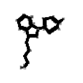 OCCCCc1cn(-c2ccc(F)cc2)c2ccccc12